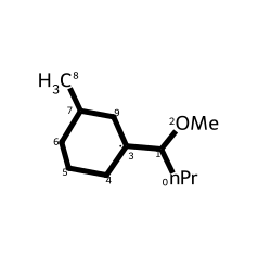 CCCC(OC)[C]1CCCC(C)C1